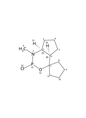 CN1[C@H]2CCC[C@H]2C2(CCCC2)OP1Cl